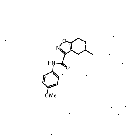 COc1ccc(NC(=O)c2noc3c2CC(C)CC3)cc1